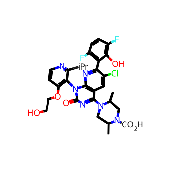 CC(C)c1nccc(OCCO)c1-n1c(=O)nc(N2CC(C)N(C(=O)O)CC2C)c2cc(Cl)c(-c3c(F)ccc(F)c3O)nc21